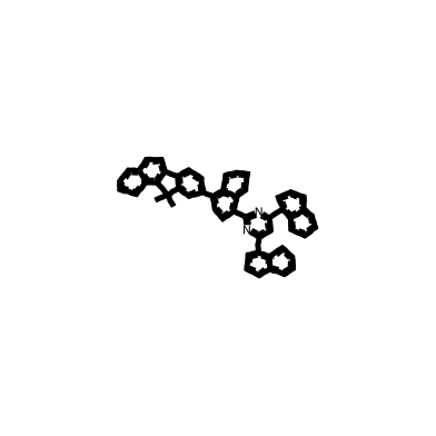 CC1(C)c2cc(-c3ccc(-c4nc(-c5cccc6ccccc56)cc(-c5cccc6ccccc56)n4)c4ccccc34)ccc2-c2ccc3ccccc3c21